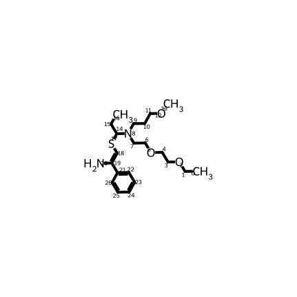 CCOCCOCCN(CCCOC)C(CC)S/C=C(\N)c1ccccc1